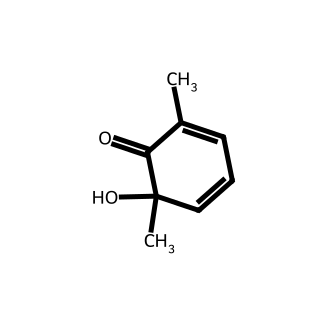 CC1=CC=CC(C)(O)C1=O